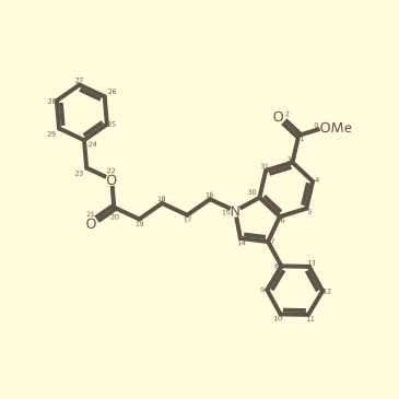 COC(=O)c1ccc2c(-c3ccccc3)cn(CCCCC(=O)OCc3ccccc3)c2c1